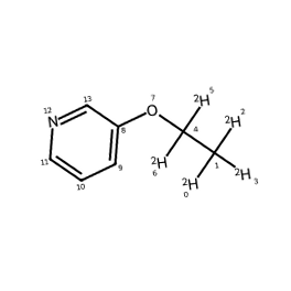 [2H]C([2H])([2H])C([2H])([2H])Oc1cccnc1